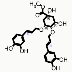 COC(=O)[C@@]1(O)C[C@@H](O)[C@H](OC/C=C/c2ccc(O)c(O)c2)[C@H](OC/C=C/c2ccc(O)c(O)c2)C1